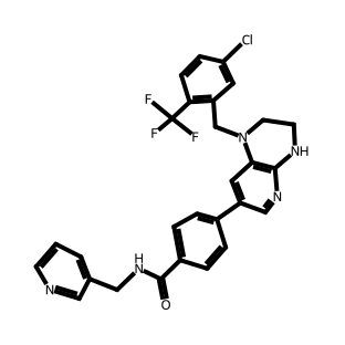 O=C(NCc1cccnc1)c1ccc(-c2cnc3c(c2)N(Cc2cc(Cl)ccc2C(F)(F)F)CCN3)cc1